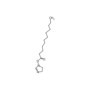 CCCCCCCCCCCC(=O)ON1C=NCC1